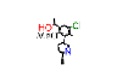 C#Cc1ccc(-c2c(C)c(Cl)cc(C(C)O)c2OC)cn1